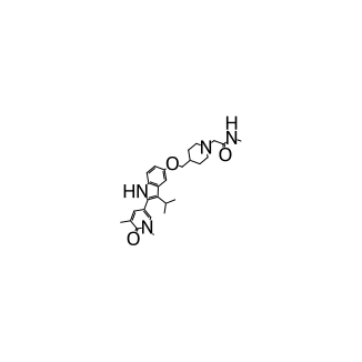 CNC(=O)CN1CCC(COc2ccc3[nH]c(-c4cc(C)c(=O)n(C)c4)c(C(C)C)c3c2)CC1